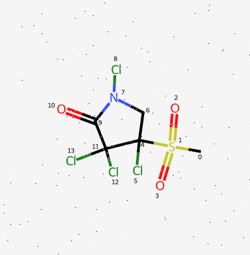 CS(=O)(=O)C1(Cl)CN(Cl)C(=O)C1(Cl)Cl